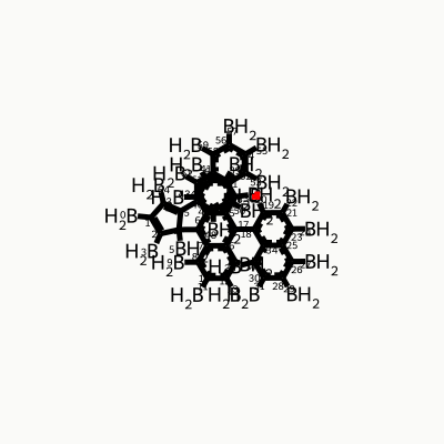 BC1=C(B)C(B)(c2c3c(B)c(B)c(B)c(B)c3c(-c3c(B)c(B)c(B)c4c(B)c(B)c(B)c(B)c34)c3c(B)c(B)c(B)c(B)c23)C(c2c(B)c(B)c3c(B)c(B)c(B)c(B)c3c2B)=C1B